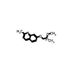 CO[C@H](C)COc1ccc2ccc(C)nc2c1